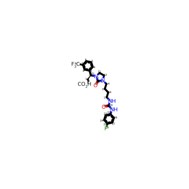 O=C(O)C[C@@H](c1cccc(C(F)(F)F)c1)N1CCN(CCCCNC(=O)Nc2ccc(F)cc2)C1=O